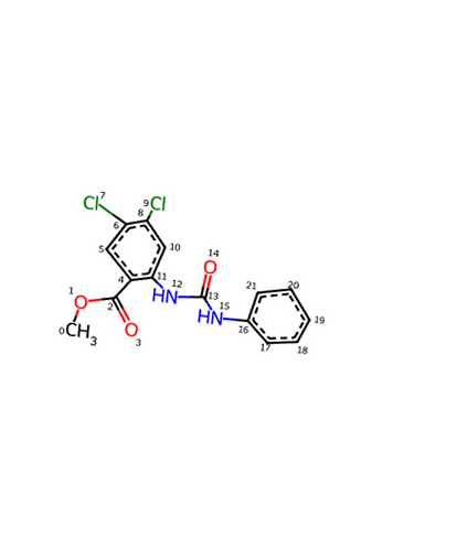 COC(=O)c1cc(Cl)c(Cl)cc1NC(=O)Nc1ccccc1